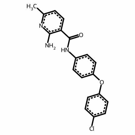 Cc1ccc(C(=O)Nc2ccc(Oc3ccc(Cl)cc3)cc2)c(N)n1